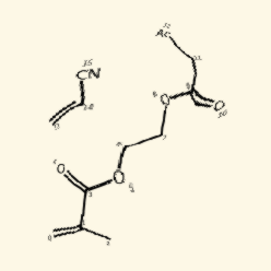 C=C(C)C(=O)OCCOC(=O)CC(C)=O.C=CC#N